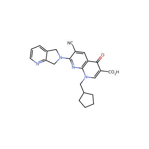 N#Cc1cc2c(=O)c(C(=O)O)cn(CC3CCCC3)c2nc1N1Cc2cccnc2C1